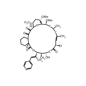 CC[C@@H]1/C=C(\C)C[C@H](C)C[C@H](OC)[C@H]2O[C@@](O)(C(=O)C(=O)N3CCCC[C@H]3C(=O)O[C@H](/C(C)=C/c3ccncc3)[C@H](C)[C@@H](O)CC1=O)[C@H](C)C[C@@H]2OC